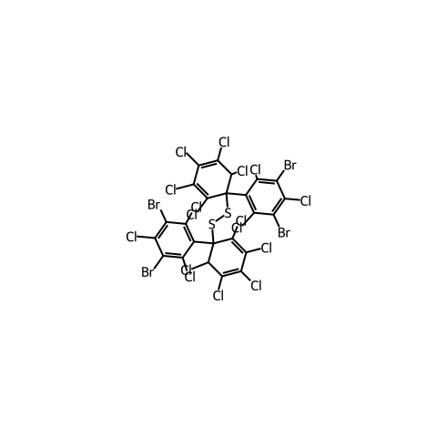 ClC1=C(Cl)C(Cl)C(SSC2(c3c(Cl)c(Br)c(Cl)c(Br)c3Cl)C(Cl)=C(Cl)C(Cl)=C(Cl)C2Cl)(c2c(Cl)c(Br)c(Cl)c(Br)c2Cl)C(Cl)=C1Cl